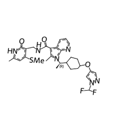 CSc1cc(C)[nH]c(=O)c1CNC(=O)c1c(C)n([C@H](C)C2CCC(Oc3cnn(C(F)F)c3)CC2)c2ncccc12